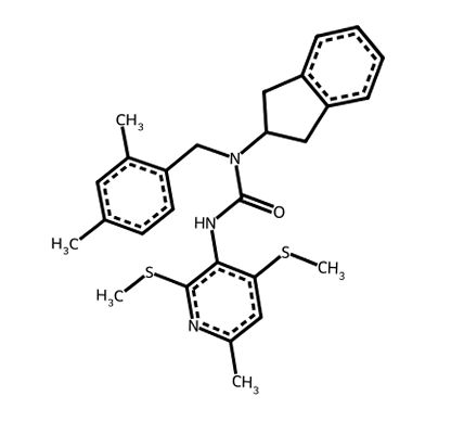 CSc1cc(C)nc(SC)c1NC(=O)N(Cc1ccc(C)cc1C)C1Cc2ccccc2C1